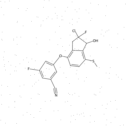 CSc1ccc(Oc2cc(F)cc(C#N)c2)c2c1C(O)C(F)(Cl)C2